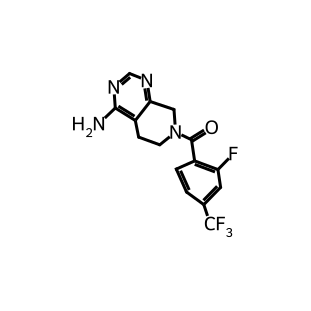 Nc1ncnc2c1CCN(C(=O)c1ccc(C(F)(F)F)cc1F)C2